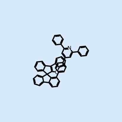 c1ccc(-c2cc(-c3ccc(-c4cccc5c4C4(c6ccccc6-5)c5ccccc5-c5c4oc4ccccc54)cc3)cc(-c3ccccc3)n2)cc1